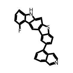 Fc1cccc2[nH]c3cc4sc5ccc(-c6cccc7cnccc67)cc5c4cc3c12